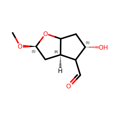 CO[C@@H]1C[C@H]2C(C[C@H](O)C2C=O)O1